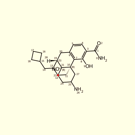 NC(=O)c1ccc2c(c1O)[C@]13CCC(CC4CCC4)[C@H](C2)[C@]1(O)CCC(N)C3